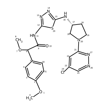 COc1ccc(C(OC)C(=O)Nc2nnc(N[C@@H]3CCN(c4cc(Cl)cnn4)C3)s2)cc1